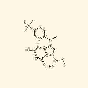 CC[C@H](O)c1nn([C@H](C)c2ccc(C(F)(F)F)cc2)c2nc(O)[nH]c(=O)c12